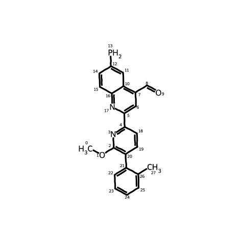 COc1nc(-c2cc(C=O)c3cc(P)ccc3n2)ccc1-c1ccccc1C